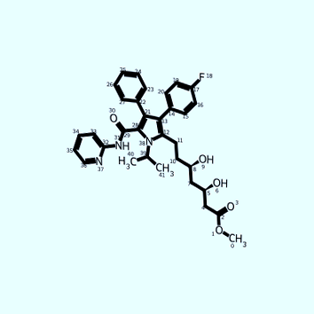 COC(=O)C[C@H](O)C[C@H](O)CCc1c(-c2ccc(F)cc2)c(-c2ccccc2)c(C(=O)Nc2ccccn2)n1C(C)C